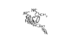 Cc1cc(C#N)cc(C)c1Oc1nc(Nc2ccc(C#N)cc2)nc2c1CCN(C(=O)Cn1ccnc1)CC2